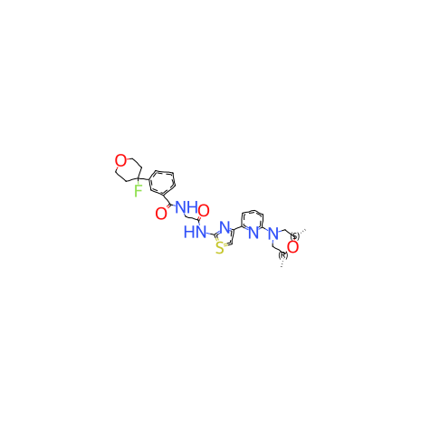 C[C@@H]1CN(c2cccc(-c3csc(NC(=O)CNC(=O)c4cccc(C5(F)CCOCC5)c4)n3)n2)C[C@H](C)O1